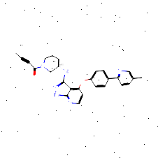 CC#CC(=O)N1CCC[C@@H](Nc2n[nH]c3nccc(Oc4ccc(-c5ccc(C)cn5)cc4)c23)C1